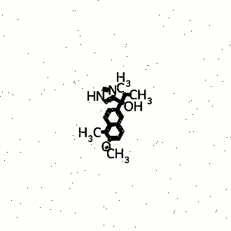 COc1ccc2cc(C(O)(c3c[nH]cn3)C(C)C)ccc2c1C